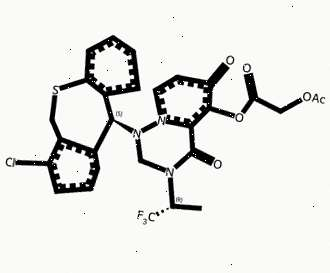 CC(=O)OCC(=O)Oc1c2n(ccc1=O)N([C@@H]1c3ccccc3SCc3c(Cl)cccc31)CN([C@H](C)C(F)(F)F)C2=O